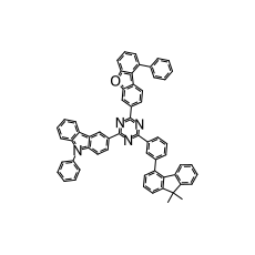 CC1(C)c2ccccc2-c2c(-c3cccc(-c4nc(-c5ccc6c(c5)oc5cccc(-c7ccccc7)c56)nc(-c5ccc6c(c5)c5ccccc5n6-c5ccccc5)n4)c3)cccc21